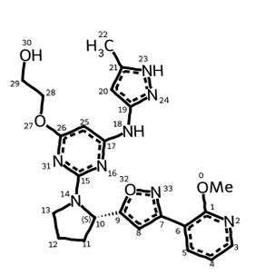 COc1ncccc1-c1cc([C@@H]2CCCN2c2nc(Nc3cc(C)[nH]n3)cc(OCCO)n2)on1